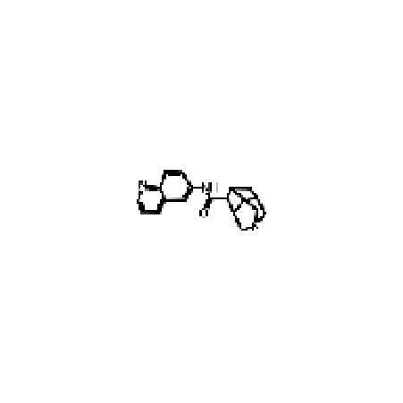 O=C(Nc1ccc2ncccc2c1)C1C2CC3CC1CN(C3)C2